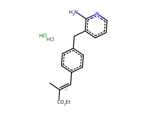 CCOC(=O)/C(C)=C/c1ccc(Cc2cccnc2N)cc1.Cl.Cl